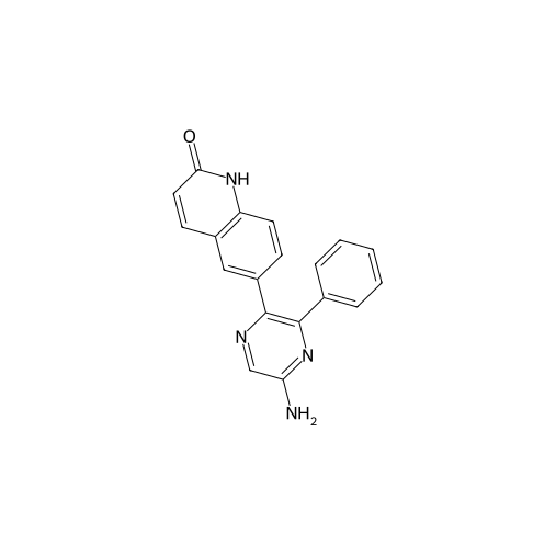 Nc1cnc(-c2ccc3[nH]c(=O)ccc3c2)c(-c2ccccc2)n1